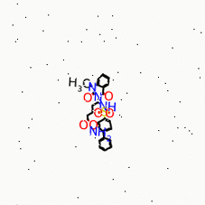 Cn1c(=O)n(C(CCCC(=O)ON)NS(=O)(=O)c2ccc(-c3ccccc3)cc2)c(=O)c2ccccc21